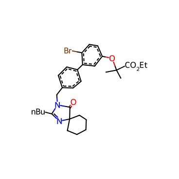 CCCCC1=NC2(CCCCC2)C(=O)N1Cc1ccc(-c2cc(OC(C)(C)C(=O)OCC)ccc2Br)cc1